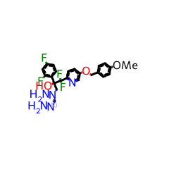 COc1ccc(COc2ccc(C(F)(F)C(O)(CN(N)/C=N\N)c3ccc(F)cc3F)nc2)cc1